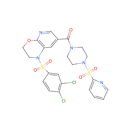 O=C(c1cnc2c(c1)N(S(=O)(=O)c1ccc(Cl)c(Cl)c1)CCO2)N1CCN(S(=O)(=O)c2ccccn2)CC1